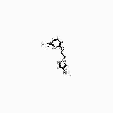 Cc1cccc(OCCn2cc(N)cn2)n1